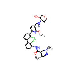 COc1nc(-c2cccc(-c3cccc(NC(=O)C4=C(C)C=NN(C)C4)c3Cl)c2Cl)ccc1CN[C@@H]1CCOC[C@@H]1O